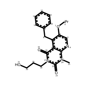 CC(C)Oc1cnc2c(c1Cc1ccccc1)c(=O)n(CCCO)c(=O)n2C